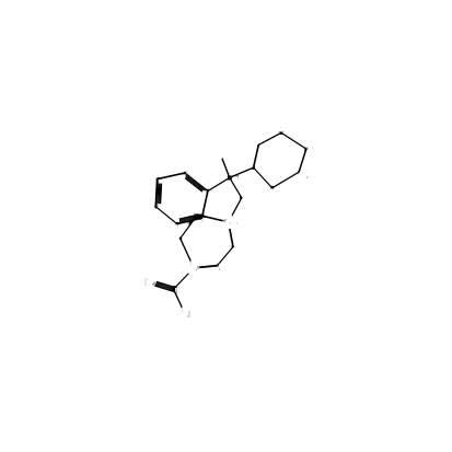 N=C(N)N1CCN(CC(O)(c2ccccc2)C2CCCCC2)CC1